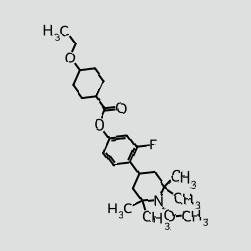 CCOC1CCC(C(=O)Oc2ccc(C3CC(C)(C)N(OC)C(C)(C)C3)c(F)c2)CC1